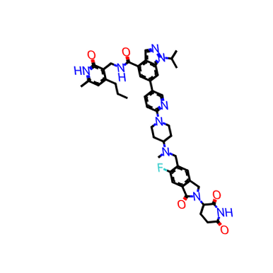 CCCc1cc(C)[nH]c(=O)c1CNC(=O)c1cc(-c2ccc(N3CCC(N(C)Cc4cc5c(cc4F)C(=O)N(C4CCC(=O)NC4=O)C5)CC3)nc2)cc2c1cnn2C(C)C